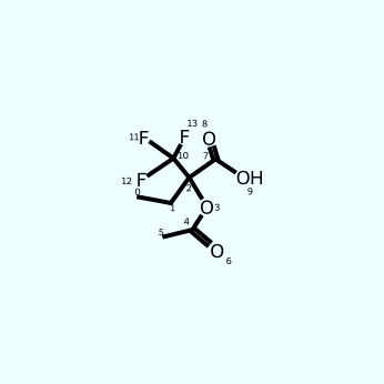 CCC(OC(C)=O)(C(=O)O)C(F)(F)F